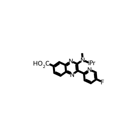 CC(C)N(C)c1nc2cc(C(=O)O)ccc2nc1-c1ccc(F)cn1